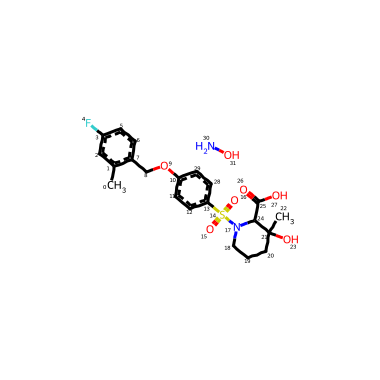 Cc1cc(F)ccc1COc1ccc(S(=O)(=O)N2CCCC(C)(O)C2C(=O)O)cc1.NO